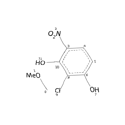 COC.O=[N+]([O-])c1ccc(O)c(Cl)c1O